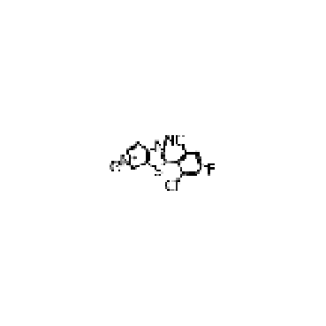 N#Cc1cc(F)cc(Cl)c1-c1nc2cc[n+]([O-])cc2s1